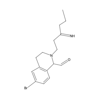 CCCC(=N)CCN1CCc2cc(Br)ccc2C1C=O